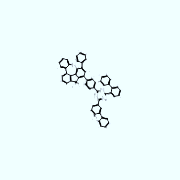 CC1(C)c2cccc3c2-c2c1c(-c1ccc(-c4nc(-c5ccc6oc7ccccc7c6c5)nc(-c5ccccc5-c5ccccc5)n4)cc1)cc1c4ccccc4n(c21)-c1ccccc1-3